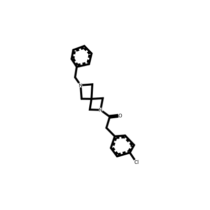 O=C(Cc1ccc(Cl)cc1)N1CC2(CN(Cc3ccccc3)C2)C1